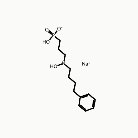 O=P([O-])(O)CCCN(O)CCCCc1ccccc1.[Na+]